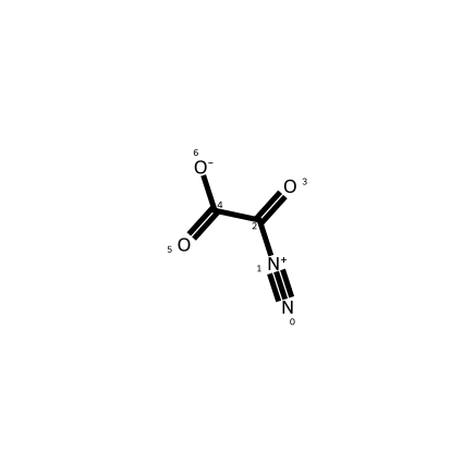 N#[N+]C(=O)C(=O)[O-]